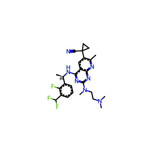 Cc1nc2nc(N(C)CCN(C)C)nc(N[C@H](C)c3cccc(C(F)F)c3F)c2cc1C1(C#N)CC1